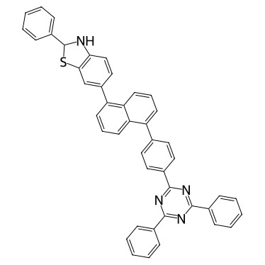 c1ccc(-c2nc(-c3ccccc3)nc(-c3ccc(-c4cccc5c(-c6ccc7c(c6)SC(c6ccccc6)N7)cccc45)cc3)n2)cc1